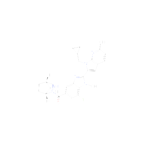 Cc1ccc2cc(-c3nc4cc(C(=O)N5C[C@H]6CC[C@@H]5[C@@H]6N)cc(F)c4n3C)n(CC3CC3)c2n1